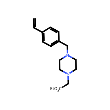 C=Cc1ccc(CN2CCN(CC(=O)OCC)CC2)cc1